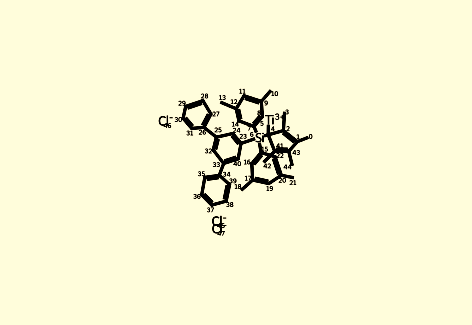 CC1=C(C)[C]([Ti+3])([Si](c2cc(C)cc(C)c2)(c2cc(C)cc(C)c2)c2cc(-c3ccccc3)cc(-c3ccccc3)c2)C(C)=C1C.[Cl-].[Cl-].[Cl-]